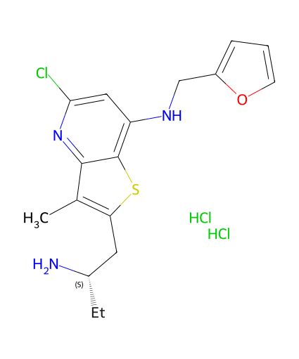 CC[C@H](N)Cc1sc2c(NCc3ccco3)cc(Cl)nc2c1C.Cl.Cl